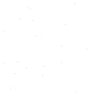 [CH]1C=CCC2CCCCC1CC2